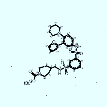 CC(C)(C)OC(=O)N1CCC(CNS(=O)(=O)c2cccc(S(=O)(=O)Nc3ccc(N4CCCCC4)c(-c4ccco4)c3)c2)CC1